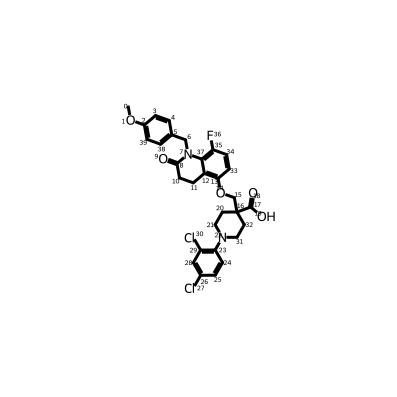 COc1ccc(CN2C(=O)CCc3c(OCC4(C(=O)O)CCN(c5ccc(Cl)cc5Cl)CC4)ccc(F)c32)cc1